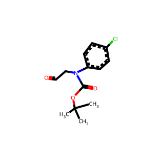 CC(C)(C)OC(=O)N(CC=O)c1ccc(Cl)cc1